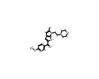 CCOc1ccc(C(=O)c2cc3cc(C)n(CCN4CCOCC4)c3s2)cn1